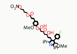 COCc1c(C(C)C)nc(C(C)C)c(/C=C/[C@@H](O)C[C@@H](O)CC(=O)Oc2ccc(/C=C/C(=O)OCCCCO[N+](=O)[O-])cc2OC)c1-c1ccc(F)cc1